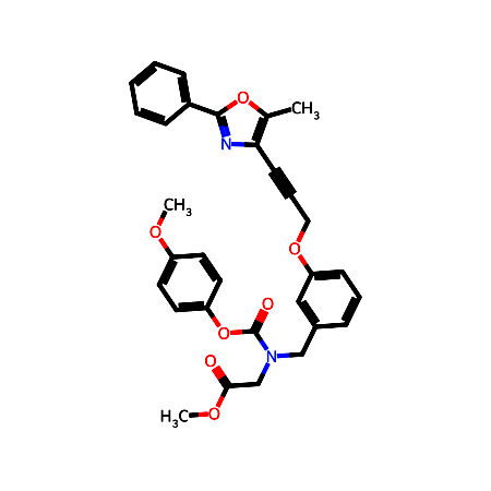 COC(=O)CN(Cc1cccc(OCC#Cc2nc(-c3ccccc3)oc2C)c1)C(=O)Oc1ccc(OC)cc1